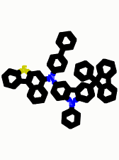 c1ccc(-c2ccc(N(c3ccc4c(c3)c3cc(C5(c6ccccc6)c6ccccc6-c6ccccc65)ccc3n4-c3ccccc3)c3cc4sc5ccccc5c4c4ccccc34)cc2)cc1